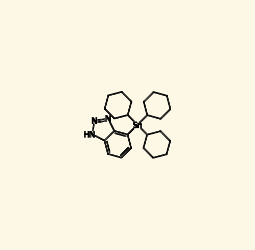 c1c[c]([Sn]([CH]2CCCCC2)([CH]2CCCCC2)[CH]2CCCCC2)c2nn[nH]c2c1